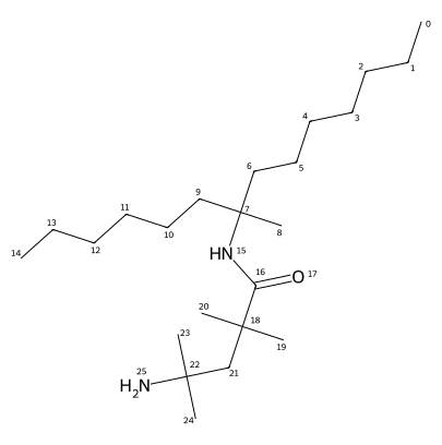 CCCCCCCC(C)(CCCCCC)NC(=O)C(C)(C)CC(C)(C)N